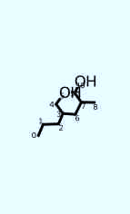 CCCC(CO)CC(C)CO